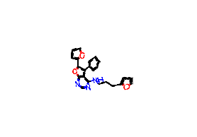 c1ccc(-c2c(-c3ccco3)oc3ncnc(NCCCc4ccco4)c23)cc1